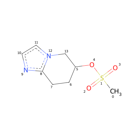 CS(=O)(=O)OC1CCc2nccn2C1